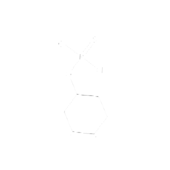 S=P(Cl)(Cl)OC1CCCCC1